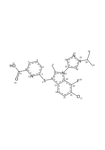 Cc1c(Sc2cccc(C(=O)O)n2)c2ccc(Cl)c(F)c2n1-c1cnn(C(C)C)c1